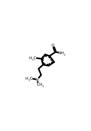 Cc1cc(C(N)=O)ccc1CCN(C)C